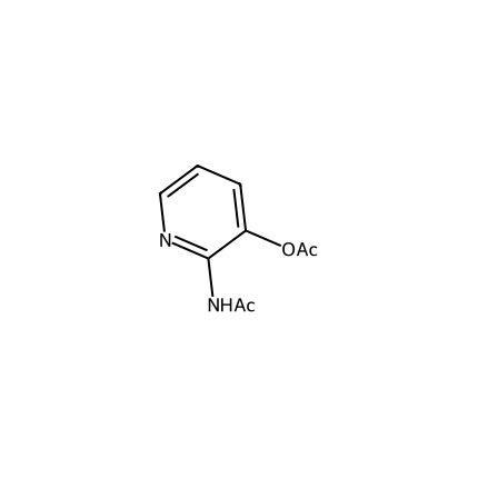 CC(=O)Nc1ncccc1OC(C)=O